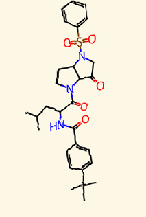 CC(C)CC(NC(=O)c1ccc(C(C)(C)C)cc1)C(=O)N1CCC2C1C(=O)CN2S(=O)(=O)c1ccccc1